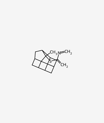 C=NC(=C)SC1(C)C2CC3CC4C5CC6CC2C65C341